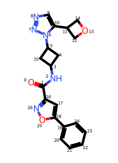 O=C(NC1CC(n2nncc2C2COC2)C1)c1cc(-c2ccccc2)on1